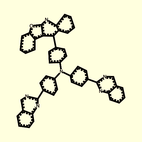 c1ccc2nc(-c3ccc(N(c4ccc(-c5ncc6ccccc6n5)cc4)c4ccc(-c5c6ccccc6nc6oc7ccccc7c56)cc4)cc3)ncc2c1